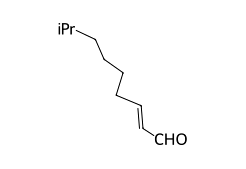 CC(C)CCCCC=CC=O